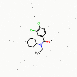 CCN(C(=O)c1ccc(Cl)c(Cl)c1)C1CCCCC1